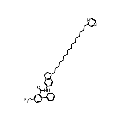 O=C(Nc1ccc2c(c1)CCN2CCCCCCCCCCCCCCCCc1cnccn1)c1cc(C(F)(F)F)ccc1-c1ccccc1